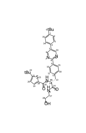 CC(C)(C)c1ccc(-c2cnc(-c3ccc(C[C@@H](NC(=O)c4ccc(C(C)(C)C)s4)C(=O)NCCO)cc3)nc2)cc1